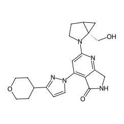 O=C1NCc2nc(N3CCC4C[C@]43CO)cc(-n3ccc(C4CCOCC4)n3)c21